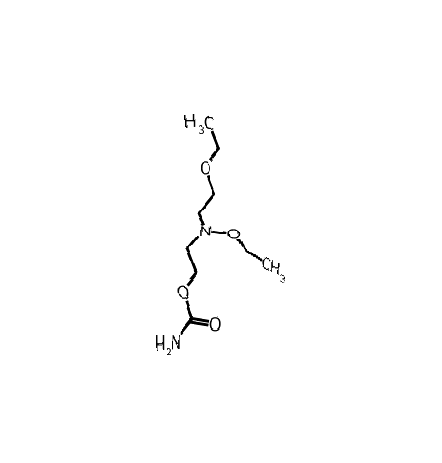 CCOCCN(CCOC(N)=O)OCC